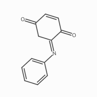 O=C1C=CC(=O)C(=Nc2ccccc2)C1